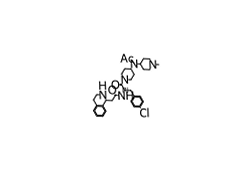 CC(=O)N(C1CCN(C)CC1)C1CCN(C(=O)[C@@H](Cc2ccc(Cl)cc2)NC(=O)CC2NCCc3ccccc32)CC1